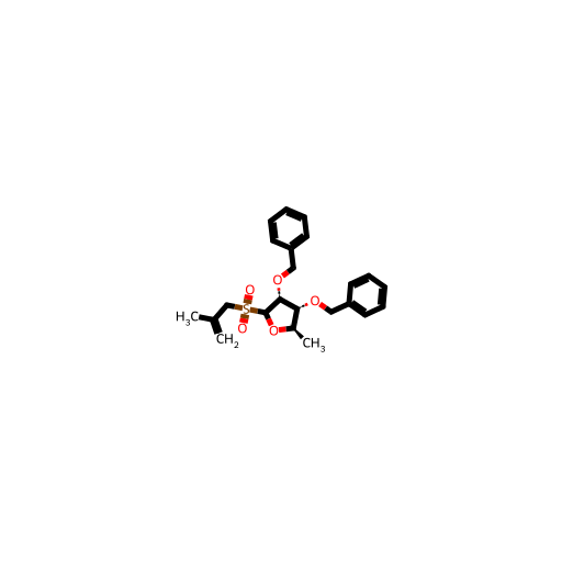 C=C(C)CS(=O)(=O)C1O[C@H](C)[C@@H](OCc2ccccc2)[C@H]1OCc1ccccc1